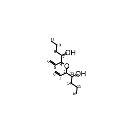 C=CC(OC(C=C)C(O)CCC)C(O)CCC